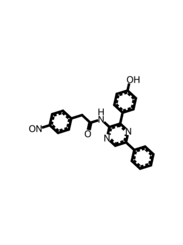 O=Nc1ccc(CC(=O)Nc2ncc(-c3ccccc3)nc2-c2ccc(O)cc2)cc1